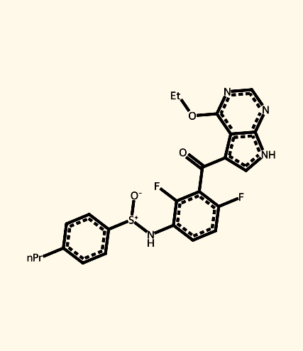 CCCc1ccc([S+]([O-])Nc2ccc(F)c(C(=O)c3c[nH]c4ncnc(OCC)c34)c2F)cc1